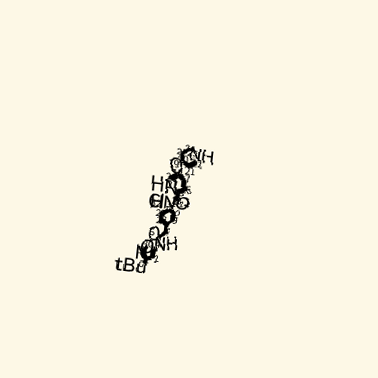 CC(C)(C)c1cc(NC(=O)Cc2ccc(NC(=O)c3ccc(OC4CCNCC4)cn3)cc2)on1.Cl